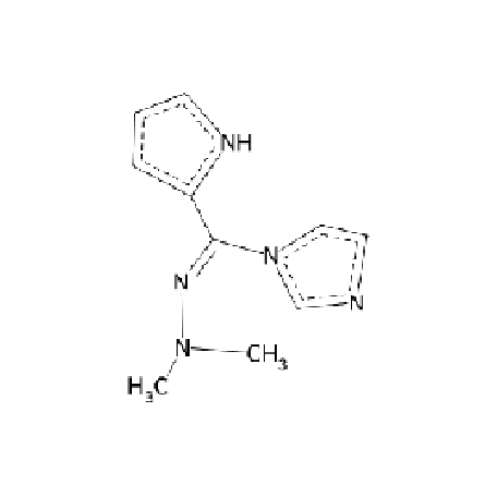 CN(C)/N=C(/c1ccc[nH]1)n1ccnc1